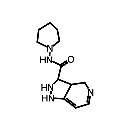 O=C(NN1CCCCC1)C1NNC2=CC=NCC21